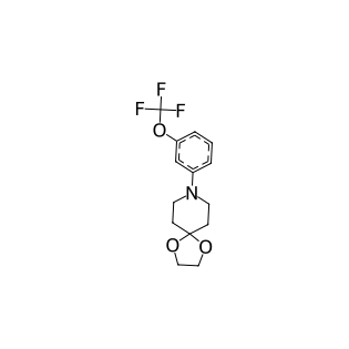 FC(F)(F)Oc1cccc(N2CCC3(CC2)OCCO3)c1